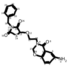 Nc1ccc2c(c1)C(=O)N(CCOC1SC(=O)N(Cc3ccccc3)C1=O)CO2